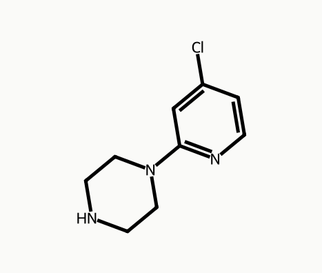 Clc1ccnc(N2CCNCC2)c1